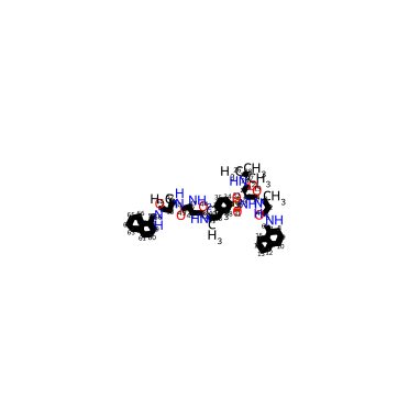 C[C@@H](CC(=O)NCc1cccc2ccccc12)NC(=O)[C@H](CC(=O)NC(C)(C)C)NS(=O)(=O)c1cccc(CC(C)(C)NC(=O)C[C@H](N)C(=O)N[C@@H](C)CC(=O)NCc2cccc3ccccc23)c1